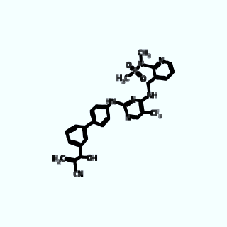 C=C(C#N)C(O)c1cccc(-c2ccc(Nc3ncc(C(F)(F)F)c(NCc4cccnc4N(C)S(C)(=O)=O)n3)cc2)c1